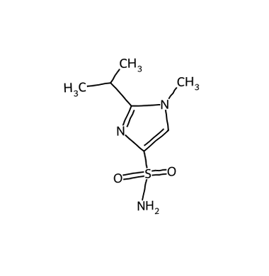 CC(C)c1nc(S(N)(=O)=O)cn1C